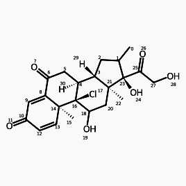 CC1C[C@H]2[C@@H]3CC(=O)C4=CC(=O)C=C[C@]4(C)[C@@]3(Cl)C(O)C[C@]2(C)[C@@]1(O)C(=O)CO